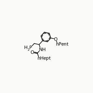 CCCCCCCC(=O)NC(CP)c1cccc(OCCCCC)c1